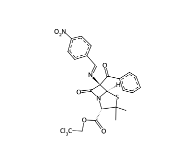 CC1(C)S[C@H]2N(C(=O)[C@]2(N=Cc2ccc([N+](=O)[O-])cc2)C(=O)c2ccccc2)[C@H]1C(=O)OCC(Cl)(Cl)Cl